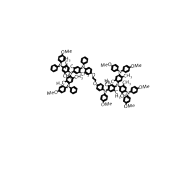 COc1ccc(N(c2ccccc2)c2cc(C)c(N(c3cc(C)c(N(c4ccccc4)c4ccc(OC)cc4)cc3C)c3cc(C)c(N(c4ccccc4)c4ccc(OCCOc5ccc(N(c6ccc(OC)cc6)c6cc(C)c(N(c7cc(C)c(N(c8ccc(OC)cc8)c8ccc(OC)cc8)cc7C)c7cc(C)c(N(c8ccc(OC)cc8)c8ccc(OC)cc8)cc7C)cc6C)cc5)cc4)cc3C)cc2C)cc1